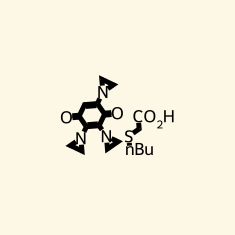 CCCCSCC(=O)O.O=C1C=C(N2CC2)C(=O)C(N2CC2)=C1N1CC1